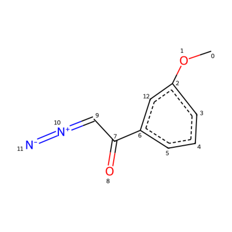 COc1cccc(C(=O)C=[N+]=[N-])c1